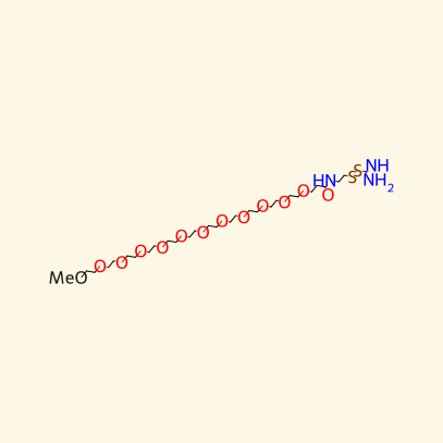 COCCOCCOCCOCCOCCOCCOCCOCCOCCOCCOCCOCCC(=O)NCCSSC(=N)N